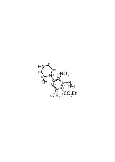 CCNc1c(C(=O)OCC)c(C)nc(N2CCNCC2C)c1[N+](=O)[O-]